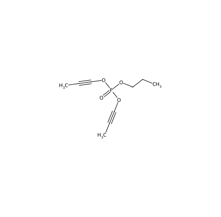 CC#COP(=O)(OC#CC)OCCC